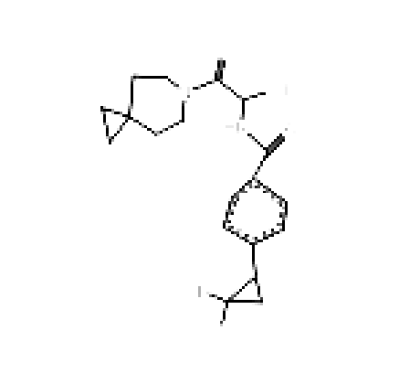 CC(NC(=O)c1ccc(C2CC2(F)F)cc1)C(=O)N1CCC2(CC1)CC2